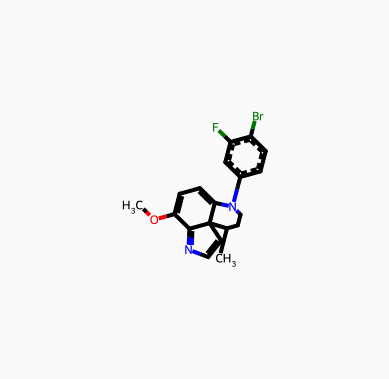 COC1=CC=C2N(c3ccc(Br)c(F)c3)CCC(C)C23C=CN=C13